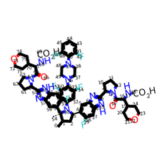 CC1C[C@H](c2cc3nc(C4CCCN4C(=O)C(NC(=O)O)C4CCOCC4)[nH]c3cc2F)N(c2cc(F)c(N3CCN(c4c(F)cccc4F)CC3)c(F)c2)[C@]1(C)c1cc2nc(C3CCCN3C(=O)[C@@H](NC(=O)O)C3CCOCC3)[nH]c2cc1F